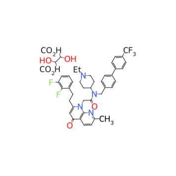 CCN1CCC(N(Cc2ccc(-c3ccc(C(F)(F)F)cc3)cc2)C(=O)Cn2c(CCc3cccc(F)c3F)cc(=O)c3ccc(C)nc32)CC1.O=C(O)C(O)C(O)C(=O)O